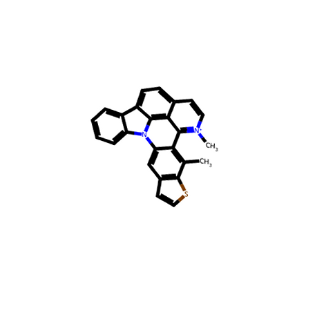 Cc1c2sccc2cc2c1c1c3c(ccc4c5ccccc5n2c43)cc[n+]1C